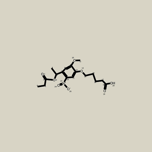 CCC(=O)OC(C)c1cc(OC)c(OCCCCC(=O)O)cc1[N+](=O)[O-]